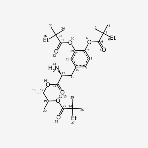 CCC(C)(C)C(=O)Oc1ccc(C[C@H](N)C(=O)O[C@@H](C)C(C)OC(=O)C(C)(C)CC)cc1OC(=O)C(C)(C)CC